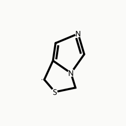 [CH]1SCn2cncc21